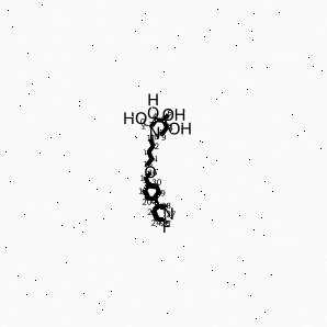 OC[C@@H]1[C@@H](O)C(O)[C@@H](O)CN1CCCCCOCc1ccc(-c2ccc(F)nc2)cc1